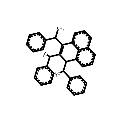 CC(C1=C(C(C)c2ccccc2)C(C(C)c2ccccc2)c2cccc3cccc1c23)c1ccccc1